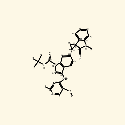 COc1cnc(C)nc1Nc1nn(C(=O)OC(C)(C)C)c2cc([C@@H]3C[C@@]34C(=O)N(C)c3ccccc34)ccc12